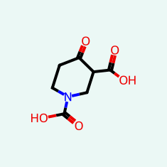 O=C(O)C1CN(C(=O)O)CCC1=O